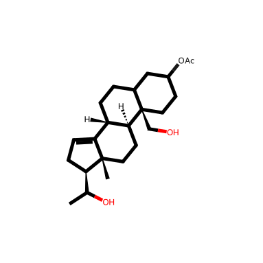 CC(=O)OC1CC[C@@]2(CO)C(CC[C@H]3C4=CC[C@H](C(C)O)[C@@]4(C)CC[C@@H]32)C1